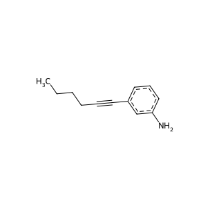 CCCCC#Cc1cccc(N)c1